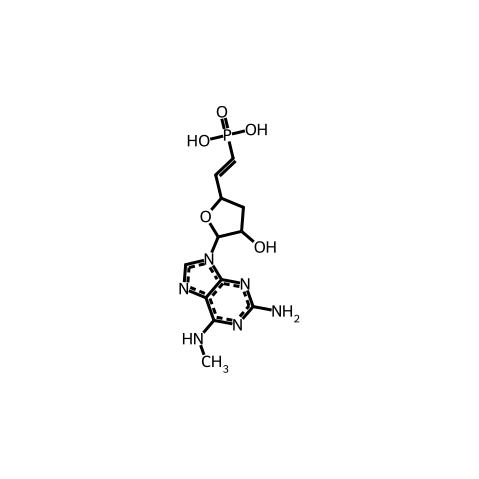 CNc1nc(N)nc2c1ncn2C1OC(/C=C/P(=O)(O)O)CC1O